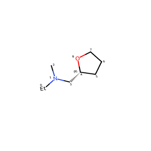 CCN(C)C[C@H]1CCCO1